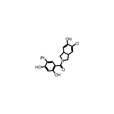 CC(C)c1cc(C(=O)N2[C]C3C=C(O)C(Cl)=CC3C2)c(O)cc1O